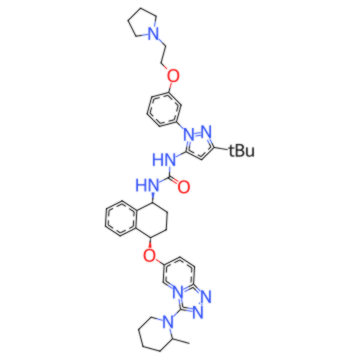 CC1CCCCN1c1nnc2ccc(O[C@@H]3CC[C@H](NC(=O)Nc4cc(C(C)(C)C)nn4-c4cccc(OCCN5CCCC5)c4)c4ccccc43)cn12